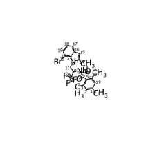 Cc1cc(C)c(S(=O)(=O)NC(Cn2c(C)cc3cccc(Br)c32)C(F)(F)F)c(C)c1